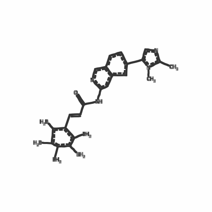 Bc1c(B)c(B)c(/C=C/C(=O)Nc2cc3cc(-c4cnc(C)n4C)ccc3cn2)c(B)c1B